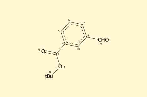 CC(C)(C)OC(=O)c1cccc(C=O)c1